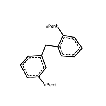 CCCCCc1cccc(Cc2ccccc2CCCCC)c1